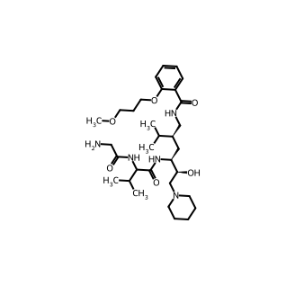 COCCCOc1ccccc1C(=O)NC[C@@H](C[C@H](NC(=O)C(NC(=O)CN)C(C)C)[C@@H](O)CN1CCCCC1)C(C)C